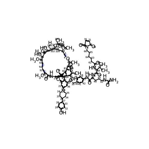 CO[C@H]1/C=C/O[C@@]2(C)Oc3c(C)c(O)c4c(=O)c(c5oc6cc(N7CCC(c8ccc(O)cc8)CC7)cc(OCc7ccc(NC(=O)[C@H](CCCNC(N)=O)NC(=O)[C@@H](NC(=O)CCCCCN8C(=O)C=CC8=O)C(C)C)cc7)c6nc-5c4c3C2=O)NC(=O)/C(C)=C\C=C\[C@H](C)[C@H](O)[C@@H](C)[C@@H](O)[C@@H](C)[C@H](OC(C)=O)[C@@H]1C